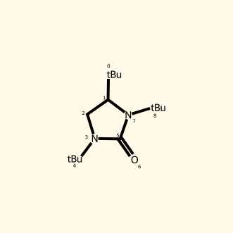 CC(C)(C)C1CN(C(C)(C)C)C(=O)N1C(C)(C)C